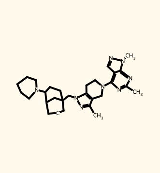 Cc1nc(N2CCc3c(c(C)nn3CC34CCCC(C3)C(N3CCCCC3)CC4)C2)c2cnn(C)c2n1